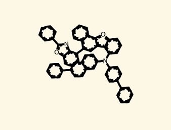 c1ccc(-c2ccc(N(c3ccc4cc(-c5ccccc5)ccc4c3)c3cccc4oc5c6ccccc6c(-c6cccc7oc(-c8ccccc8)nc67)cc5c34)cc2)cc1